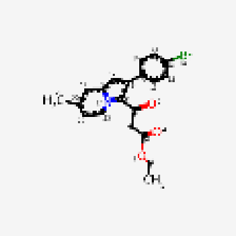 CCOC(=O)CC(=O)c1c(-c2ccc(Br)cc2)cc2cc(C)ccn12